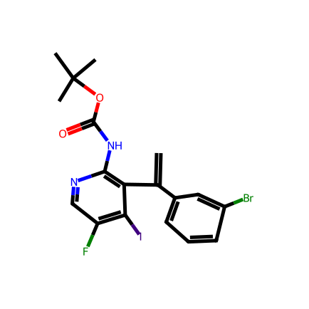 C=C(c1cccc(Br)c1)c1c(NC(=O)OC(C)(C)C)ncc(F)c1I